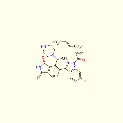 CCCCCCCCCC(=O)n1nc(-c2ccc3c(c2C(C)N2CCNCC2)C(=O)NC3=O)c2ccc(F)cc21.O=C(O)C=CC(=O)O